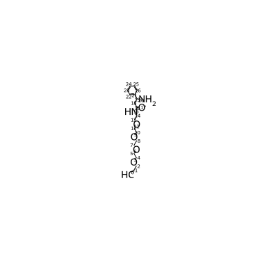 C#CCOCCOCCOCCOCCNC(=O)C[C@@H](N)c1ccccc1